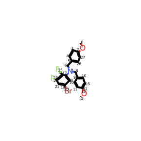 COc1ccc(CN(Cc2ccc(OC)cc2)c2cc(Br)cc(F)c2F)cc1